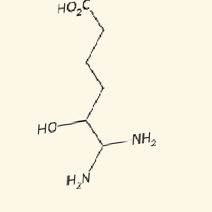 NC(N)C(O)CCCC(=O)O